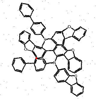 c1ccc(-c2ccc(N(c3ccc4c(c3)oc3ccccc34)c3c(-c4ccc5oc6ccccc6c5c4N(c4ccc(-c5ccccc5)cc4)c4ccc5c(c4)oc4ccccc45)ccc4oc5ccccc5c34)cc2)cc1